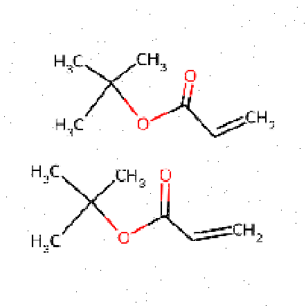 C=CC(=O)OC(C)(C)C.C=CC(=O)OC(C)(C)C